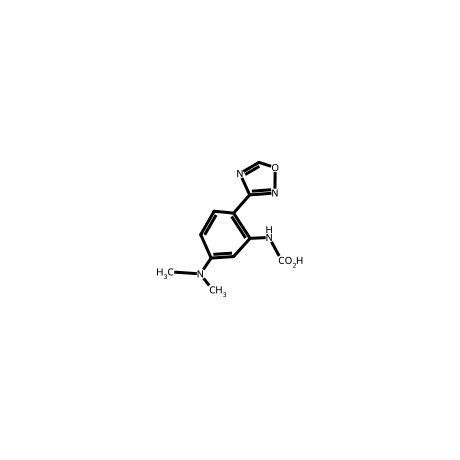 CN(C)c1ccc(-c2ncon2)c(NC(=O)O)c1